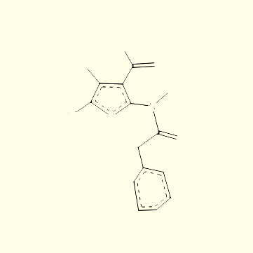 Cc1c(Cl)sc(N(C)C(=O)Cc2ccccc2)c1C(=O)O